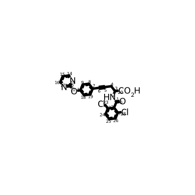 O=C(NC(CC#Cc1ccc(Oc2ncccn2)cc1)C(=O)O)c1c(Cl)cccc1Cl